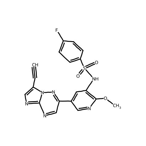 C#Cc1cnc2ncc(-c3cnc(OC)c(NS(=O)(=O)c4ccc(F)cc4)c3)nn12